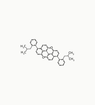 CC(C)Cc1ccccc1-c1ccc2oc3ccc4c(-c5ccccc5CC(C)C)ccc5oc6ccc1c2c6-c3c54